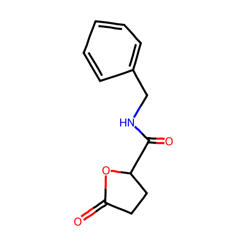 O=C1CCC(C(=O)NCc2ccccc2)O1